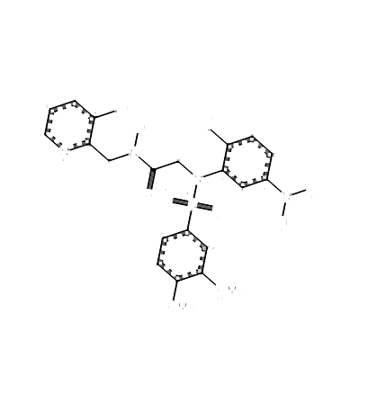 CCN(Cc1ncccc1F)C(=O)CN(c1cc(N(C)C)ccc1Cl)S(=O)(=O)c1ccc(OC)c(OC)c1